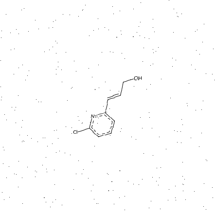 OC/C=C/c1cccc(Cl)n1